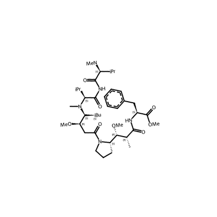 CC[C@H](C)[C@@H]([C@@H](CC(=O)N1CCC[C@H]1[C@H](OC)[C@@H](C)C(=O)N[C@@H](Cc1ccccc1)C(=O)OC)OC)N(C)[C@H](C(=O)NC(=O)[C@@H](NC)C(C)C)C(C)C